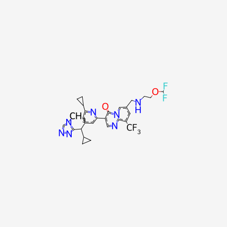 Cn1cnnc1C(c1cc(-c2cnc3c(C(F)(F)F)cc(CNCCOC(F)F)cn3c2=O)nc(C2CC2)c1)C1CC1